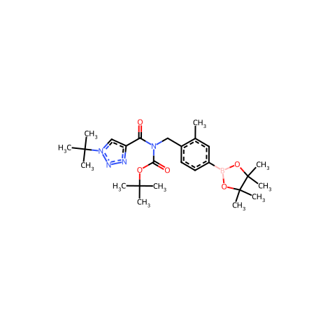 Cc1cc(B2OC(C)(C)C(C)(C)O2)ccc1CN(C(=O)OC(C)(C)C)C(=O)c1cn(C(C)(C)C)nn1